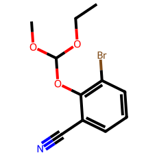 CCOC(OC)Oc1c(Br)cccc1C#N